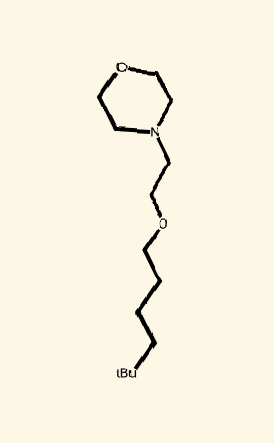 CC(C)(C)CCCCOCCN1CCOCC1